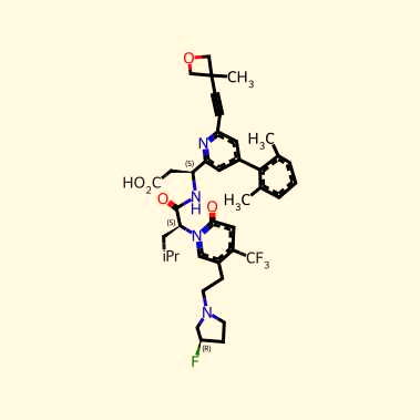 Cc1cccc(C)c1-c1cc(C#CC2(C)COC2)nc([C@H](CC(=O)O)NC(=O)[C@H](CC(C)C)n2cc(CCN3CC[C@@H](F)C3)c(C(F)(F)F)cc2=O)c1